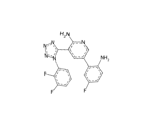 Nc1ccc(F)cc1-c1cnc(N)c(-c2nnnn2-c2cccc(F)c2F)c1